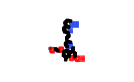 COCCOC1=CC([C@H](CC(=O)O)CN2CC[C@@H](CCc3ccc4c(n3)NCCC4)C2)=CC(C)C1